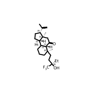 C=C(C)[C@H]1CC[C@H]2[C@@H]3CCC[C@](C)(CC[C@](O)(CC)C(F)(F)F)[C@H]3C(=O)C[C@]12C